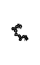 CC1(C)c2ccc(-n3c4ccccc4c4cc(-c5cccc(-c6ccc7c(c6)c6ccccc6n7-c6ccc7c(c6)-c6ncccc6C7(C)C)c5)ccc43)cc2-c2ncccc21